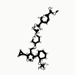 COC(=O)c1ccc(-c2nc(N3CCC(OCc4c(C5=CC=CCC5OC(F)(F)F)noc4C4CC4)CC3)no2)cc1